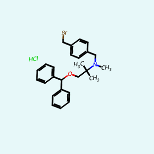 CN(Cc1ccc(CBr)cc1)C(C)(C)COC(c1ccccc1)c1ccccc1.Cl